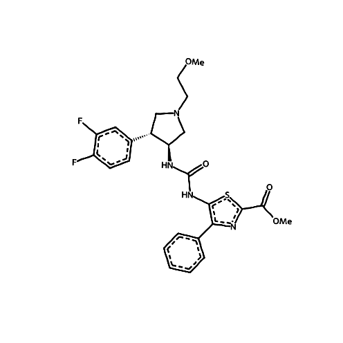 COCCN1C[C@@H](NC(=O)Nc2sc(C(=O)OC)nc2-c2ccccc2)[C@H](c2ccc(F)c(F)c2)C1